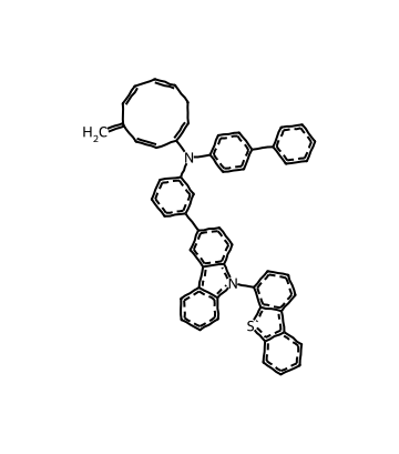 C=C1/C=C\C=C/C/C=C(N(c2ccc(-c3ccccc3)cc2)c2cccc(-c3ccc4c(c3)c3ccccc3n4-c3cccc4c3sc3ccccc34)c2)\C=C/1